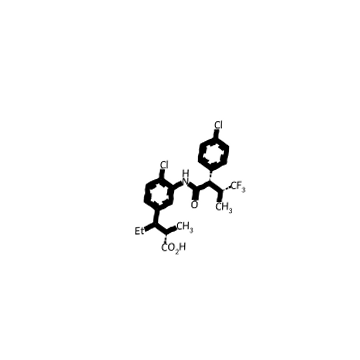 CCC(c1ccc(Cl)c(NC(=O)[C@H](c2ccc(Cl)cc2)[C@@H](C)C(F)(F)F)c1)[C@H](C)C(=O)O